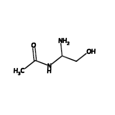 CC(=O)NC(N)CO